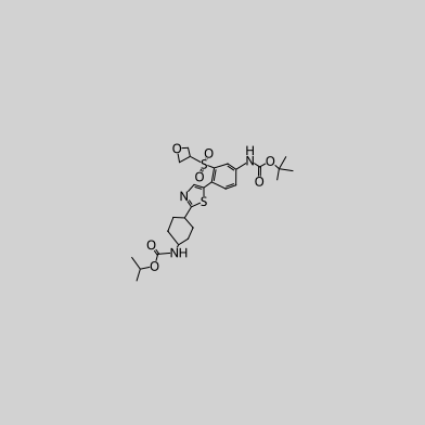 CC(C)OC(=O)NC1CCC(c2ncc(-c3ccc(NC(=O)OC(C)(C)C)cc3S(=O)(=O)C3COC3)s2)CC1